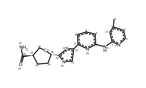 Cc1ccnc(Nc2cccc(-c3cnc([C@H]4CC[C@H](C(N)=O)CC4)s3)n2)c1